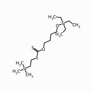 CC[Si](CC)(CC)OCCCCOC(=S)SCC[Si](C)(C)C